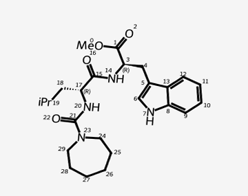 COC(=O)[C@@H](Cc1c[nH]c2ccccc12)NC(=O)[C@@H](CC(C)C)NC(=O)N1CCCCCC1